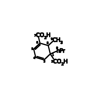 CCCC1(C(=O)O)C=CC=C(C(=O)O)C1C